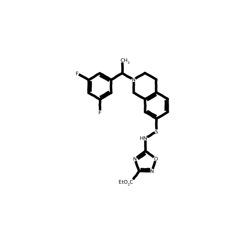 CCOC(=O)c1noc(NSc2ccc3c(c2)CN(C(C)c2cc(F)cc(F)c2)CC3)n1